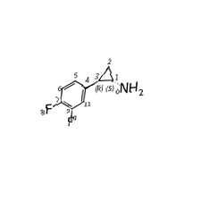 N[C@H]1C[C@@H]1c1ccc(F)c(F)c1